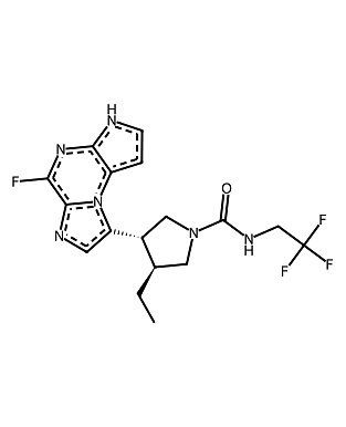 CC[C@@H]1CN(C(=O)NCC(F)(F)F)C[C@H]1c1cnc2c(F)nc3[nH]ccc3n12